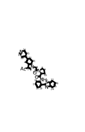 CC(=O)c1cn(CC(=O)N2CCCC2C(=O)Nc2ccccc2-c2nc3ccccc3s2)c2ccc(-c3ccnnc3)cc12